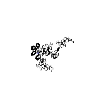 CC(C)(C)OC(=O)NCCSc1nccnc1SC1=C(C(=O)O)N2C(=O)[C@@H](NC(=O)/C(=N\OC(c3ccccc3)(c3ccccc3)c3ccccc3)c3cccc(NC(=O)OC(C)(C)C)n3)[C@@H]2SC1